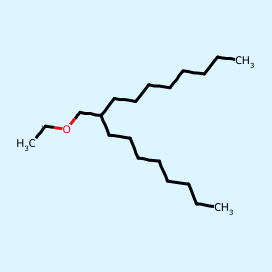 C[CH]OCC(CCCCCCCC)CCCCCCCC